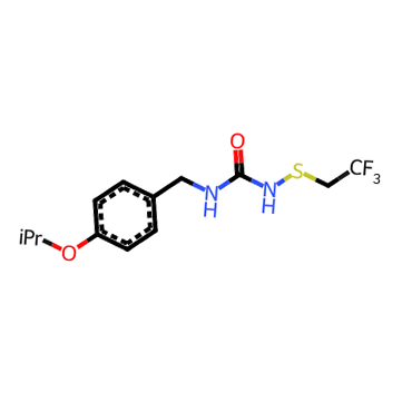 CC(C)Oc1ccc(CNC(=O)NSCC(F)(F)F)cc1